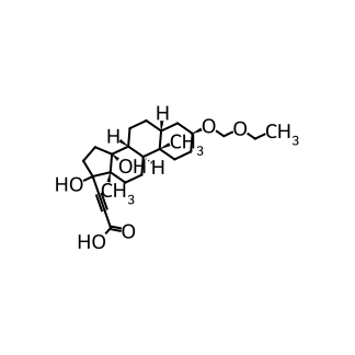 CCOCO[C@H]1CC[C@@]2(C)[C@H](CC[C@@H]3[C@@H]2CC[C@]2(C)C(O)(C#CC(=O)O)CC[C@]32O)C1